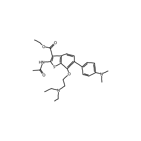 CCOC(=O)c1c(NC(C)=O)sc2c(OCCN(CC)CC)c(-c3ccc(N(C)C)cc3)ccc12